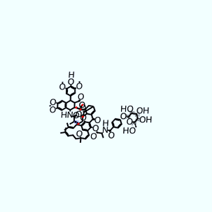 COc1cc(C2c3cc4c(cc3C(NC(=O)/C(C)=C\CC35OC(C)(C)C6CC(C=C7C(=O)c8c(OC(=O)C(C)NC(=O)c9ccc(O[C@@H]%10O[C@H](CO)[C@@H](O)[C@H](O)[C@H]%10O)cc9)c9c(c(CC=C(C)C)c8OC763)OC(C)(CCC=C(C)C)C=C9)C5=O)C3COC(=O)C23)OCO4)cc(OC)c1O